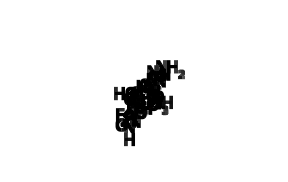 C[C@H]1[C@H]2OP(=O)(O)OC[C@H]3O[C@@H](n4cnc5c(N)ncnc54)[C@H](F)[C@@H]3OP(=O)(S)OC[C@H]1O[C@H]2n1cc(F)c2c(=O)[nH]cnc21